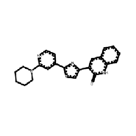 O=c1[nH]c2ccccc2cc1-c1csc(-c2ccnc(N3CCCCC3)c2)n1